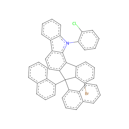 Clc1ccccc1-n1c2ccccc2c2ccc3c(c21)-c1cccc(Br)c1C3(c1cccc2ccccc12)c1cccc2ccccc12